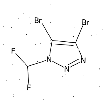 FC(F)n1nnc(Br)c1Br